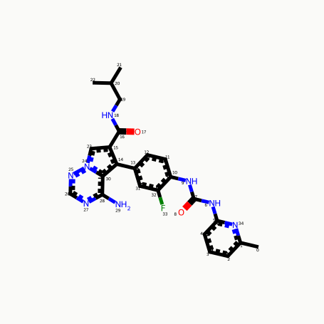 Cc1cccc(NC(=O)Nc2ccc(-c3c(C(=O)NCC(C)C)cn4ncnc(N)c34)cc2F)n1